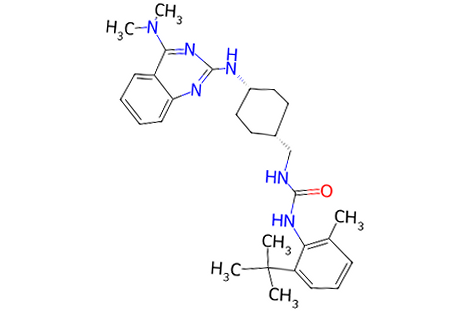 Cc1cccc(C(C)(C)C)c1NC(=O)NC[C@H]1CC[C@@H](Nc2nc(N(C)C)c3ccccc3n2)CC1